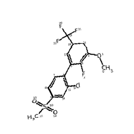 COC1=C(F)C(c2ccc(S(C)(=O)=O)cc2Cl)=CC(C(F)(F)F)[CH]1